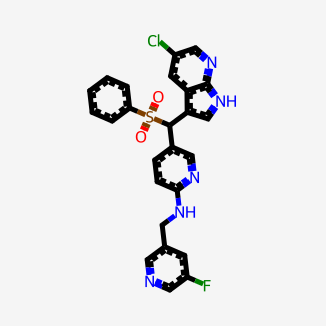 O=S(=O)(c1ccccc1)C(c1ccc(NCc2cncc(F)c2)nc1)c1c[nH]c2ncc(Cl)cc12